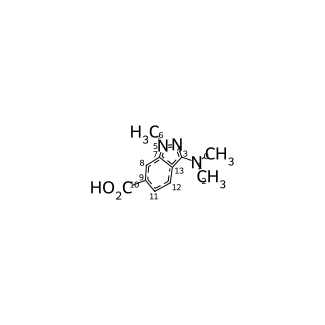 CN(C)c1nn(C)c2cc(C(=O)O)ccc12